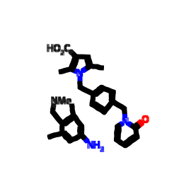 CNCc1c(C)cc(N)cc1C.Cc1cc(C(=O)O)c(C)n1Cc1ccc(Cn2ccccc2=O)cc1